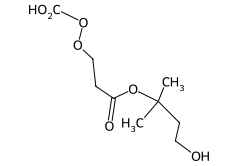 CC(C)(CCO)OC(=O)CCOOC(=O)O